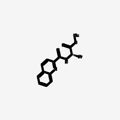 CC(C)[C@H](NC(=O)c1ccc2ccccc2n1)C(=O)OC(C)(C)C